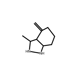 C=C1CCCC2NNC(C)C12